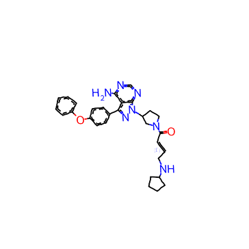 Nc1ncnc2c1c(-c1ccc(Oc3ccccc3)cc1)nn2C1CCN(C(=O)/C=C/CNC2CCCC2)C1